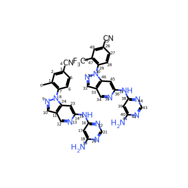 Cc1cc(C#N)ccc1-n1ncc2cnc(Nc3cc(N)ncn3)cc21.N#Cc1ccc(-n2ncc3cnc(Nc4cc(N)ncn4)cc32)c(C(F)(F)F)c1